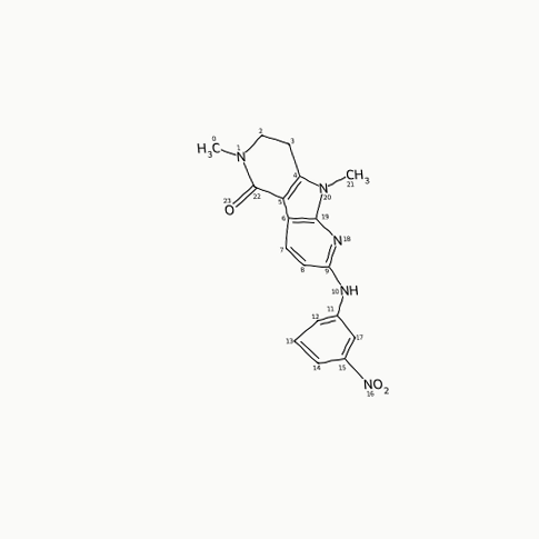 CN1CCc2c(c3ccc(Nc4cccc([N+](=O)[O-])c4)nc3n2C)C1=O